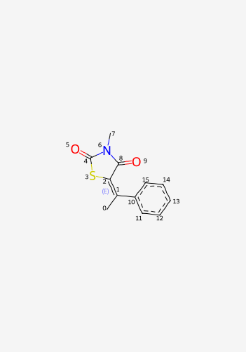 C/C(=C1\SC(=O)N(C)C1=O)c1ccccc1